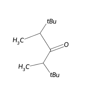 CC(C(=O)C(C)C(C)(C)C)C(C)(C)C